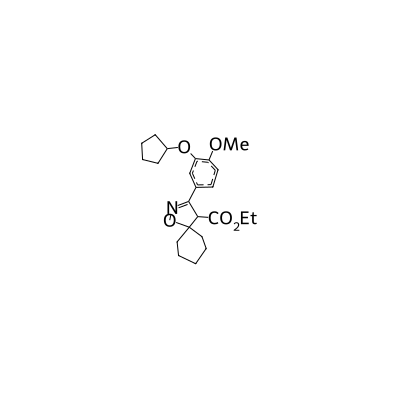 CCOC(=O)C1C(c2ccc(OC)c(OC3CCCC3)c2)=NOC12CCCCC2